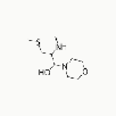 CNC(CSC)C(O)N1CCOCC1